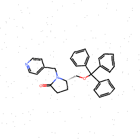 O=C1CC[C@@H](COC(c2ccccc2)(c2ccccc2)c2ccccc2)N1Cc1ccncc1